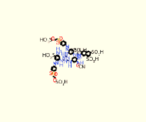 N#CONc1cc(Nc2nc(Nc3cc(N)c(S(=O)(=O)O)cc3/N=N/c3ccc(S(=O)(=O)CCOS(=O)(=O)O)cc3)nc(Nc3cc(N)c(S(=O)(=O)O)cc3/N=N/c3ccc(S(=O)(=O)CCOS(=O)(=O)O)cc3)n2)ccc1/N=N/c1cc2c(S(=O)(=O)O)cc(S(=O)(=O)O)cc2cc1S(=O)(=O)O